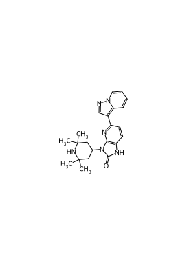 CC1(C)CC(n2c(=O)[nH]c3ccc(-c4cnn5ccccc45)nc32)CC(C)(C)N1